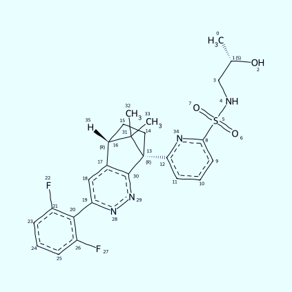 C[C@H](O)CNS(=O)(=O)c1cccc([C@]23CC[C@@H](c4cc(-c5c(F)cccc5F)nnc42)C3(C)C)n1